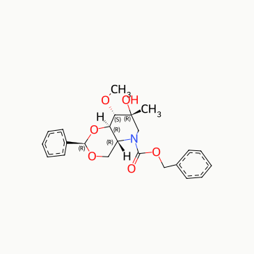 CO[C@H]1[C@@H]2O[C@H](c3ccccc3)OC[C@H]2N(C(=O)OCc2ccccc2)C[C@@]1(C)O